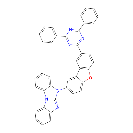 c1ccc(-c2nc(-c3ccccc3)nc(-c3ccc4oc5ccc(-n6c7ccccc7n7c8ccccc8nc67)cc5c4c3)n2)cc1